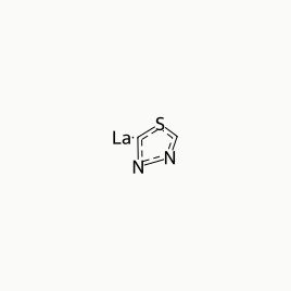 [La].c1nncs1